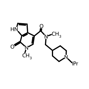 CC(C)N1CCC(CN(C)C(=O)c2cn(C)c(=O)c3[nH]ccc23)CC1